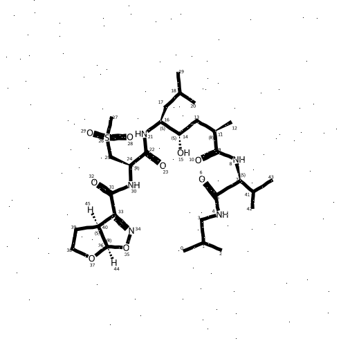 CC(C)CNC(=O)[C@@H](NC(=O)[C@H](C)C[C@H](O)[C@H](CC(C)C)NC(=O)[C@H](CS(C)(=O)=O)NC(=O)C1=NO[C@H]2OCC[C@@H]12)C(C)C